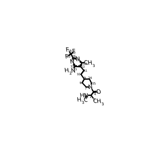 CNC(C)C(=O)N1CCC(CCc2c(C)nc(C(F)(F)F)nc2N)CC1